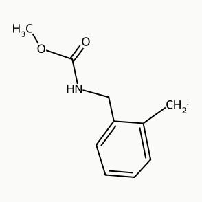 [CH2]c1ccccc1CNC(=O)OC